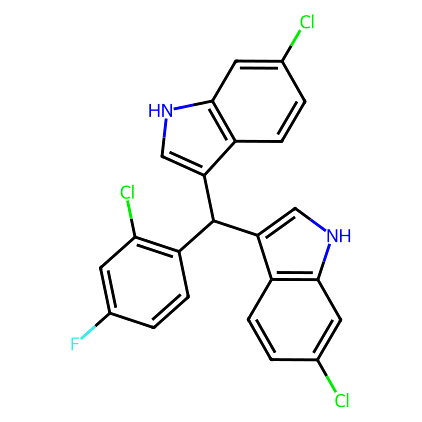 Fc1ccc(C(c2c[nH]c3cc(Cl)ccc23)c2c[nH]c3cc(Cl)ccc23)c(Cl)c1